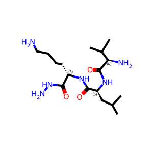 CC(C)C[C@H](NC(=O)[C@H](N)C(C)C)C(=O)N[C@@H](CCCCN)C(=O)NN